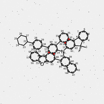 CC1(C)c2ccccc2-c2ccc(N(c3ccc(-c4ccc(C5CCCCC5)cc4)cc3-c3ccccc3)c3cc4ccccc4cc3-c3ccc4c(c3)oc3ccccc34)cc21